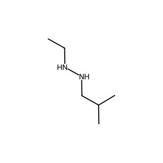 CCNNCC(C)C